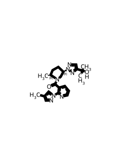 Cc1cnn(-c2ncccc2C(=O)N2C[C@H](n3ncc(C(C)(C)O)n3)CC[C@H]2C)c1